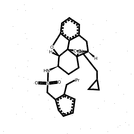 CC(C)Cc1ccccc1CS(=O)(=O)N[C@@H]1CC[C@@]2(O)[C@H]3Cc4cccc5c4[C@@]2(CCN3CC2CC2)[C@H]1O5